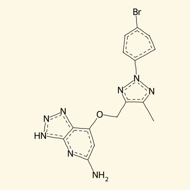 Cc1nn(-c2ccc(Br)cc2)nc1COc1cc(N)nc2[nH]nnc12